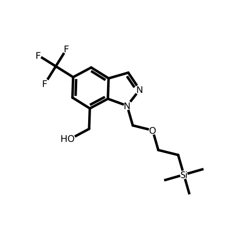 C[Si](C)(C)CCOCn1ncc2cc(C(F)(F)F)cc(CO)c21